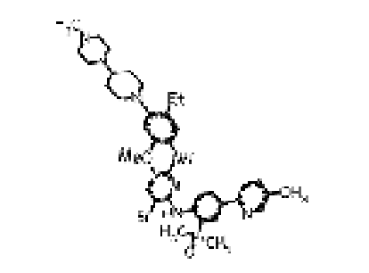 CCc1cc(Nc2ncc(Br)c(Nc3ccc(-c4ccc(C)cn4)cc3P(C)(C)=O)n2)c(OC)cc1N1CCC(N2CCN(C)CC2)CC1